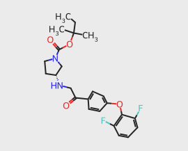 CCC(C)(C)OC(=O)N1CC[C@@H](NCC(=O)c2ccc(Oc3c(F)cccc3F)cc2)C1